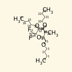 CCCCOC[C@H]1OC(=C(F)F)[C@H](OCCCC)[C@@H](OCCCC)[C@@H]1C